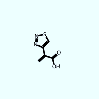 C=C(C(=O)O)c1csnn1